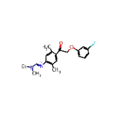 CCN(C)/C=N/c1cc(C)c(C(=O)COc2cccc(F)c2)cc1C